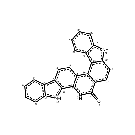 O=c1[nH]c2c(ccc3c4ccccc4[nH]c32)c2c1ccc1[nH]c3ccccc3c12